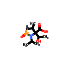 CC(C)N([PH2]=O)C(C(=O)O)(C(C)C)C(C)O